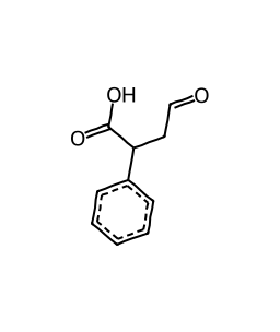 O=CCC(C(=O)O)c1ccccc1